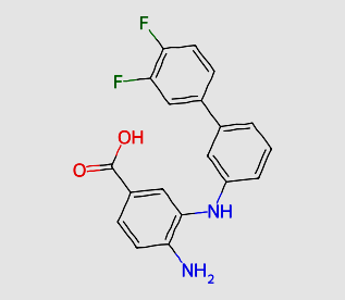 Nc1ccc(C(=O)O)cc1Nc1cccc(-c2ccc(F)c(F)c2)c1